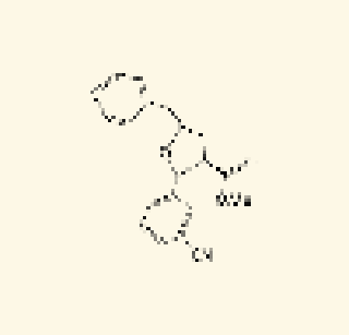 COC(=O)[C@@H]1CN(Cc2ccccc2)O[C@H]1c1cccc(C#N)c1